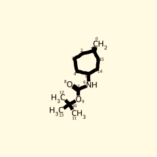 C=C1CCCC(NC(=O)OC(C)(C)C)CC1